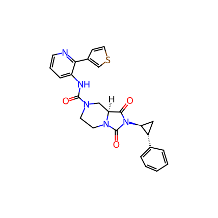 O=C(Nc1cccnc1-c1ccsc1)N1CCN2C(=O)N([C@H]3C[C@@H]3c3ccccc3)C(=O)[C@@H]2C1